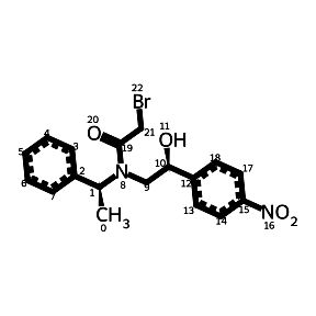 C[C@@H](c1ccccc1)N(C[C@@H](O)c1ccc([N+](=O)[O-])cc1)C(=O)CBr